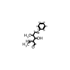 CNC([C]=O)C(O)C(C)CSc1ccccc1